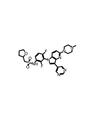 CN1CCN(c2ccc3c(n2)c(-c2cncnc2)cn3-c2c(F)ccc(NS(=O)(=O)CC3CCCO3)c2F)CC1